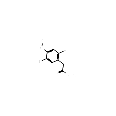 CCOc1cc(F)c(CC(=O)NC)cc1F